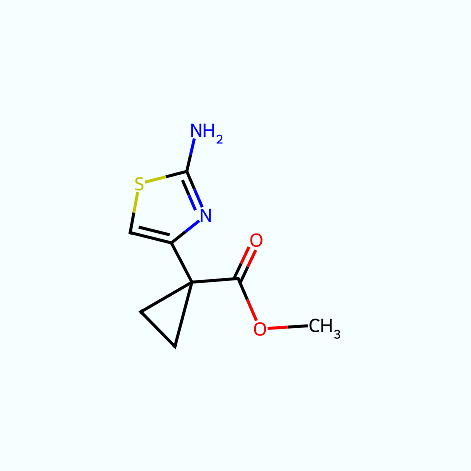 COC(=O)C1(c2csc(N)n2)CC1